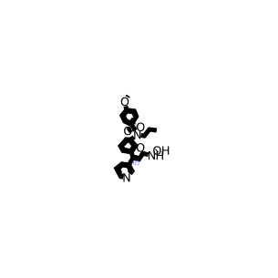 CCCN(c1cccc(/C(=C\C(=O)NO)c2cccnc2)c1)S(=O)(=O)c1ccc(OC)cc1